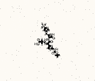 CC(C)(C)OC(=O)Nc1nc(/C(=N/OC(C)(C)C(=O)O)C(=O)N[C@@H]2C(=O)N[C@@H]2Cn2cc([Si](C)(C)C)nn2)cs1